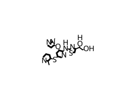 Cc1ncccc1Sc1cnc(Nc2nc(C(O)CO)cs2)c(Oc2ccnn2C)c1